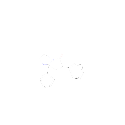 O=C1C(c2ccccc2)CC2(c3ccccc3)NCCN12